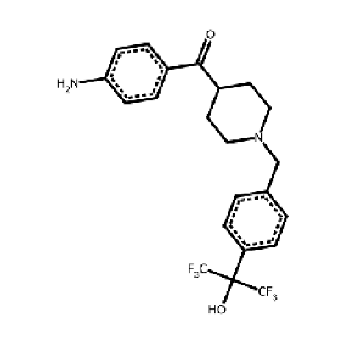 Nc1ccc(C(=O)C2CCN(Cc3ccc(C(O)(C(F)(F)F)C(F)(F)F)cc3)CC2)cc1